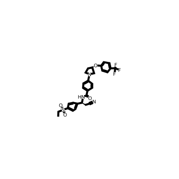 CCS(=O)(=O)c1ccc([C@H](CC#N)NC(=O)c2ccc(N3CC[C@H](Oc4ccc(C(F)(F)F)cc4)C3)cc2)cc1